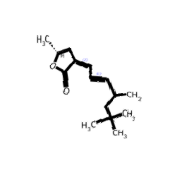 CC(/C=C/C=C1/C[C@@H](C)OC1=O)CC(C)(C)C